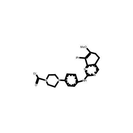 CCC(=O)N1CCN(c2ccc(Nc3ncc4c(n3)C(C(C)C)=C(OC)CC4)cc2)CC1